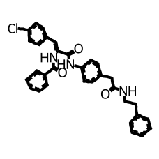 O=C(Cc1ccc(NC(=O)C(=Cc2ccc(Cl)cc2)NC(=O)c2ccccc2)cc1)NCCc1ccccc1